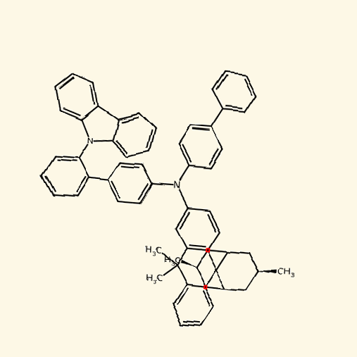 CC1(C)c2ccccc2C2(c3ccc(N(c4ccc(-c5ccccc5)cc4)c4ccc(-c5ccccc5-n5c6ccccc6c6ccccc65)cc4)cc31)C1C[C@H](C)CC2C[C@H](C)C1